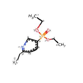 CCOP(=O)(OCC)c1ccc(C)nc1